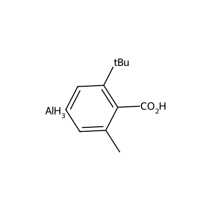 Cc1cccc(C(C)(C)C)c1C(=O)O.[AlH3]